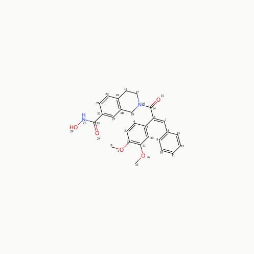 COc1ccc(C(=Cc2ccccc2)C(=O)N2CCc3ccc(C(=O)NO)cc3C2)cc1OC